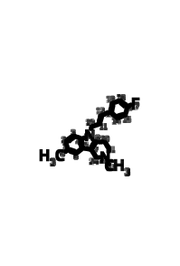 Cc1ccc2c(c1)c1c(n2CC=Cc2ccc(F)cc2)CCN(C)C1